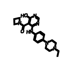 CCN1CCN(c2ccc(Nc3ncnc(O)c3C(=O)N3CCC3)cc2)CC1